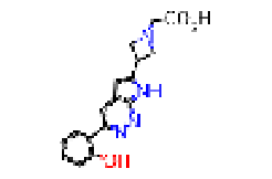 O=C(O)CN1CC(c2cc3cc(-c4ccccc4O)nnc3[nH]2)C1